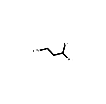 CCCCCC(Br)C(C)=O